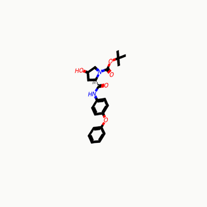 CC(C)(C)OC(=O)N1CC(O)C[C@H]1C(=O)Nc1ccc(Oc2ccccc2)cc1